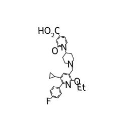 CCOc1nc(-c2ccc(F)cc2)c(C2CC2)cc1CN1CCC(n2ccc(C(=O)O)cc2=O)CC1